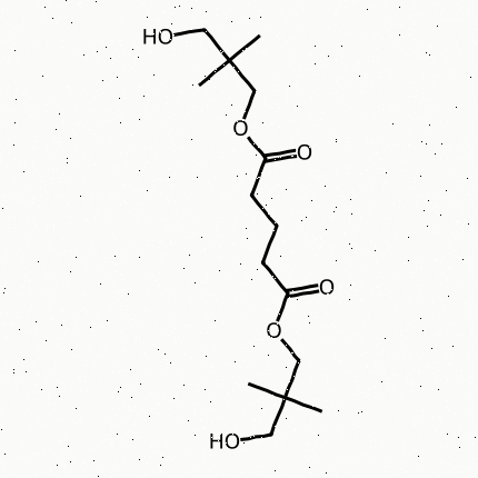 CC(C)(CO)COC(=O)CCCC(=O)OCC(C)(C)CO